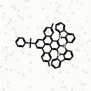 Cc1ccc2c(c1)c1c3c4c(c5c6cc(C)ccc6c6cc(C(C)(C)c7ccccc7)cc2c6c15)-n1c2ccccc2c2cccc(c21)B4c1cccc2c4ccccc4n-3c12